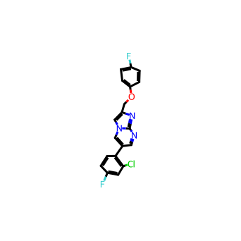 Fc1ccc(OCc2cn3cc(-c4ccc(F)cc4Cl)cnc3n2)cc1